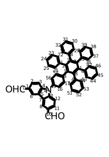 O=Cc1ccc2c(c1)c1cc(C=O)ccc1n2-c1ccc(-c2c(-c3ccccc3)c(-c3ccccc3)c(-c3ccccc3)c(-c3ccccc3)c2-c2ccccc2)cc1